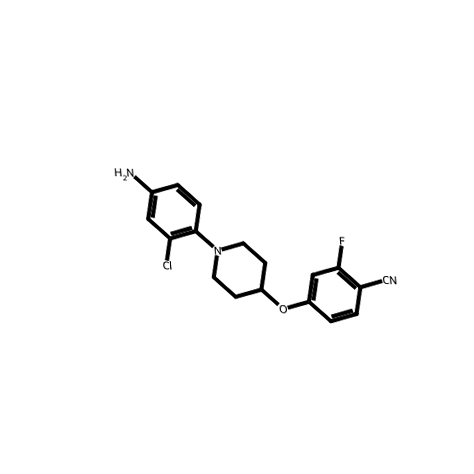 N#Cc1ccc(OC2CCN(c3ccc(N)cc3Cl)CC2)cc1F